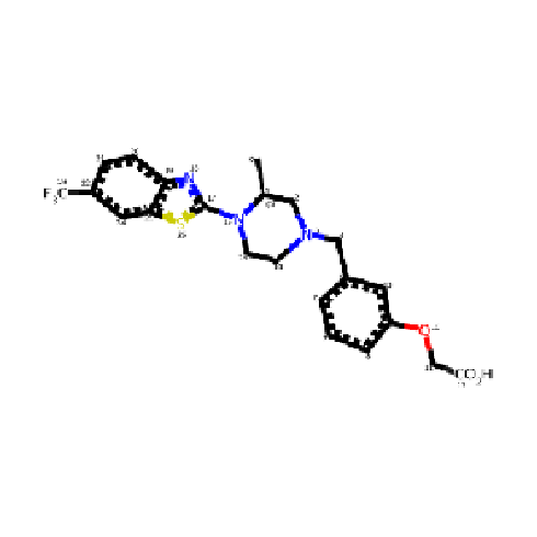 C[C@H]1CN(Cc2cccc(OCC(=O)O)c2)CCN1c1nc2ccc(C(F)(F)F)cc2s1